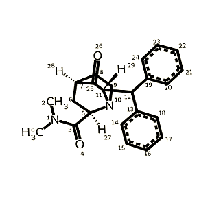 CN(C)C(=O)[C@H]1C[C@H]2CCN1[C@@H](C(c1ccccc1)c1ccccc1)C2=O